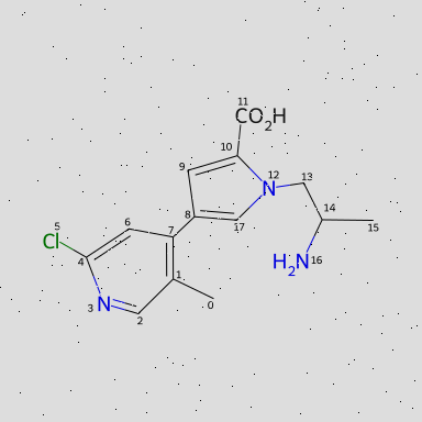 Cc1cnc(Cl)cc1-c1cc(C(=O)O)n(CC(C)N)c1